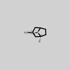 N[C@H]1CC2CC[C@@H](C1)N2C(=O)O